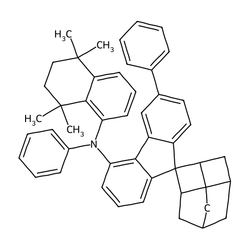 CC1(C)CCC(C)(C)c2c(N(c3ccccc3)c3cccc4c3-c3cc(-c5ccccc5)ccc3C43C4CC5CC6CC3C64C5)cccc21